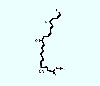 CC/C=C\C[C@H](/C=C/C=C\CC(/C=C/C=C/C=C/[C@H](CCC(=O)ON)N=O)N=O)N=O